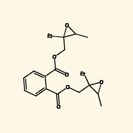 CCC1(COC(=O)c2ccccc2C(=O)OCC2(CC)OC2C)OC1C